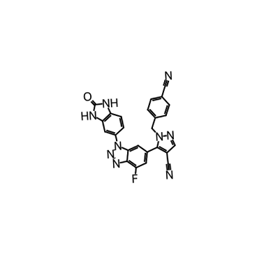 N#Cc1ccc(Cn2ncc(C#N)c2-c2cc(F)c3nnn(-c4ccc5[nH]c(=O)[nH]c5c4)c3c2)cc1